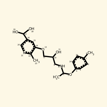 Cc1ccc(OC(C)NCC(O)COc2cc(C(O)O)cnc2C)cc1